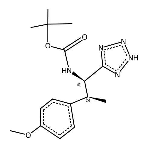 COc1ccc([C@H](C)[C@@H](NC(=O)OC(C)(C)C)c2nn[nH]n2)cc1